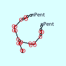 C=C(C)C(=O)OCCCCCCOC(=O)c1cc(OCCCCCCCCOC(=O)CCC(=O)OCCCCCCCCOc2ccc(C(=O)Oc3ccc(C4CCC(CCCCC)CC4)cc3)cc2)ccc1OCCCCCCCCOC(=O)CCC(=O)OCCCCCCCCOc1ccc(C(=O)Oc2ccc(C3CCC(CCCCC)CC3)cc2)cc1